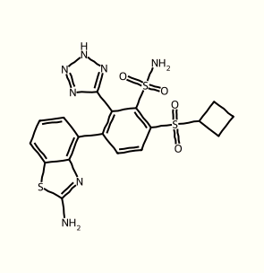 Nc1nc2c(-c3ccc(S(=O)(=O)C4CCC4)c(S(N)(=O)=O)c3-c3nn[nH]n3)cccc2s1